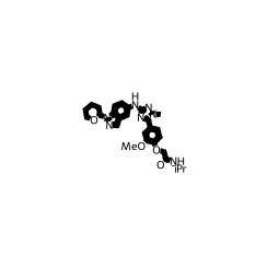 COc1cc(-c2nc(Nc3ccc4c(cnn4C4CCCCO4)c3)nn2C)ccc1OCC(=O)NC(C)C